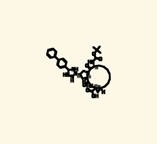 CC(C)(C)OC(=O)N[C@@H]1CCCCCCC[C@@H]2C[C@]2(C(=O)O)NC(=O)[C@@H]2C[C@H](N3NNC(c4ccc(-c5ccccc5)cc4)N3)CN2C1=O